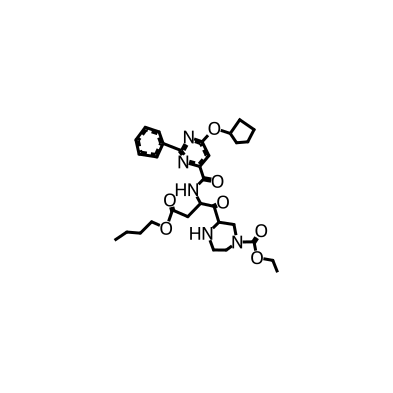 CCCCOC(=O)CC(NC(=O)c1cc(OC2CCCC2)nc(-c2ccccc2)n1)C(=O)C1CN(C(=O)OCC)CCN1